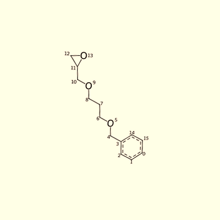 c1ccc(COCCCOCC2CO2)cc1